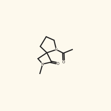 CC(=O)N1CCCC12CN(C)C2=O